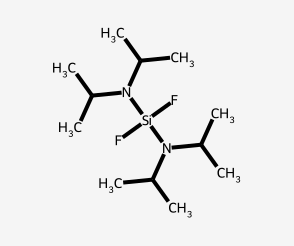 CC(C)N(C(C)C)[Si](F)(F)N(C(C)C)C(C)C